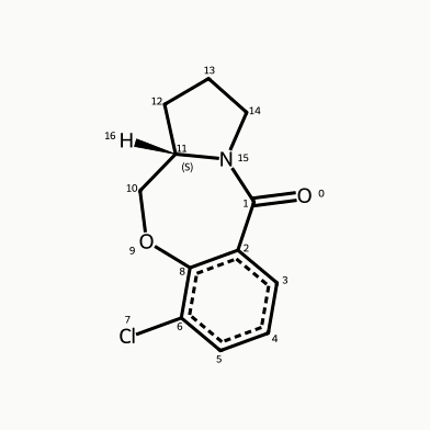 O=C1c2cccc(Cl)c2OC[C@@H]2CCCN12